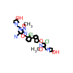 CO/N=c1/c2nc(-c3cccc(-c4cccc5c4CC[C@@H]5Oc4nc(OC)c(CN5CC[C@@H](O)C5)cc4Cl)c3Cl)oc2c(C#N)cn1CCN1CC[C@@H](O)C1